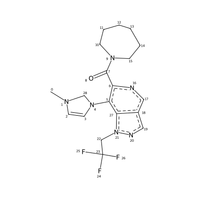 CN1C=CN(c2c(C(=O)N3CCCCCC3)ncc3cnn(CC(F)(F)F)c23)C1